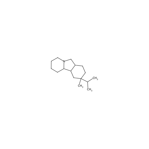 CC(C)C1(C)CCC2CN3CCCCC3C2C1